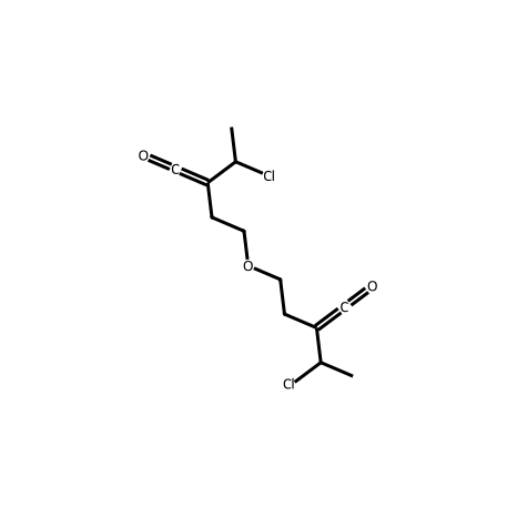 CC(Cl)C(=C=O)CCOCCC(=C=O)C(C)Cl